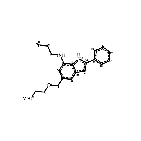 COCCOCc1cc(NCCC(C)C)c2[nH]c(-c3ccccc3)cc2c1